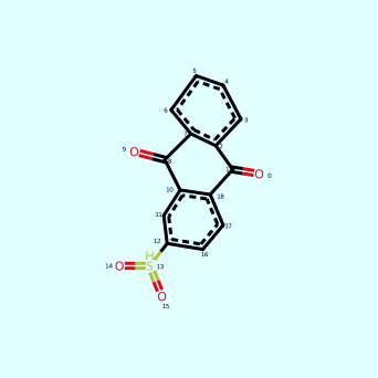 O=C1c2ccccc2C(=O)c2cc([SH](=O)=O)ccc21